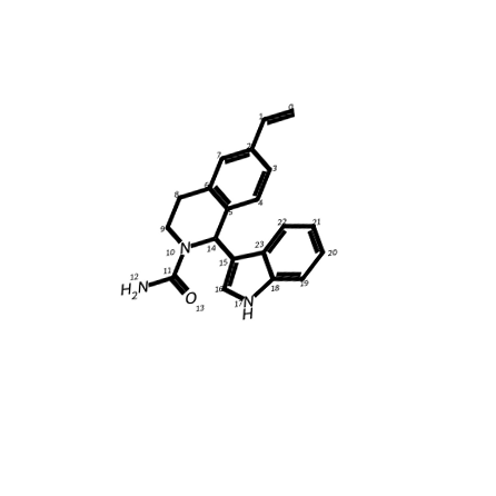 C=Cc1ccc2c(c1)CCN(C(N)=O)C2c1c[nH]c2ccccc12